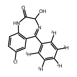 [2H]c1c([2H])c([2H])c(C2=NC(O)C(=O)Nc3ccc(Cl)cc32)c([2H])c1[2H]